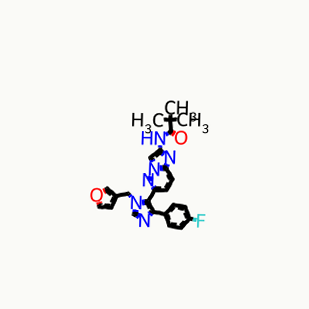 CC(C)(C)C(=O)Nc1cn2nc(-c3c(-c4ccc(F)cc4)ncn3Cc3ccoc3)ccc2n1